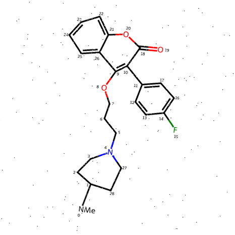 CNC1CCN(CCCOc2c(-c3ccc(F)cc3)c(=O)oc3ccccc23)CC1